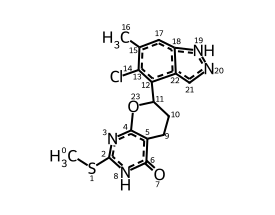 CSc1nc2c(c(=O)[nH]1)CCC(c1c(Cl)c(C)cc3[nH]ncc13)O2